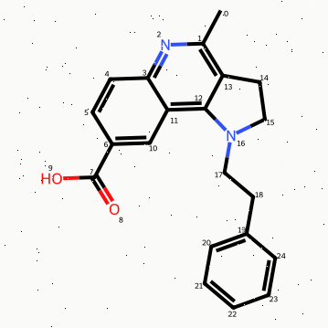 Cc1nc2ccc(C(=O)O)cc2c2c1CCN2CCc1ccccc1